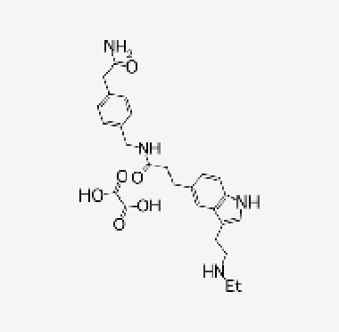 CCNCCc1c[nH]c2ccc(CCC(=O)NCc3ccc(CC(N)=O)cc3)cc12.O=C(O)C(=O)O